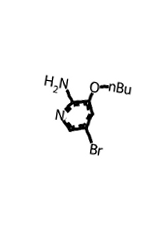 CCCCOc1cc(Br)cnc1N